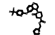 O=C(OCc1ccccc1)N1CCN(C2CCOc3ccc(Oc4ccc(C(F)(F)F)cn4)cc32)C(=O)C1